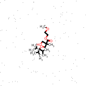 COCCOC(=O)C(C)(CO)CO[Si](C(C)C)(C(C)C)C(C)C